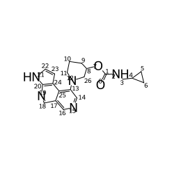 O=C(NCC1CC1)OC1CCCN(c2cncc3cnc4[nH]ccc4c23)C1